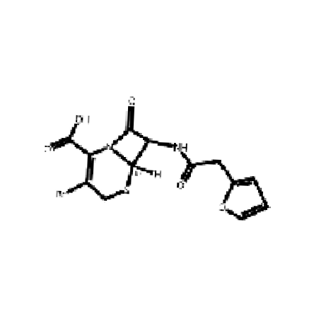 O=C(Cc1ccco1)NC1C(=O)N2C(C(=O)O)=C(Br)CS[C@@H]12